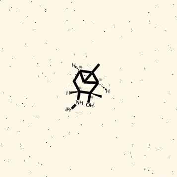 CC(C)N[C@@H]1C[C@@H]2C3[C@@H](C32C)[C@]1(C)O